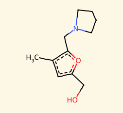 Cc1cc(CO)oc1CN1CCCC1